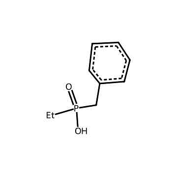 CCP(=O)(O)Cc1ccccc1